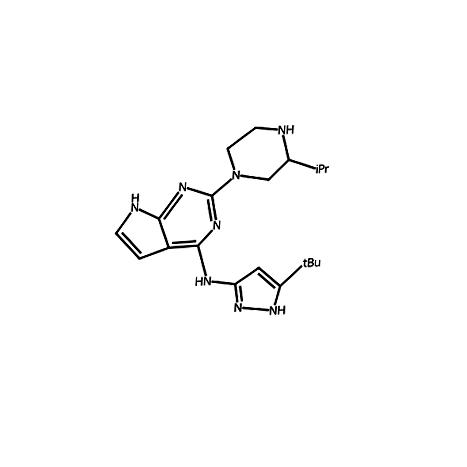 CC(C)C1CN(c2nc(Nc3cc(C(C)(C)C)[nH]n3)c3cc[nH]c3n2)CCN1